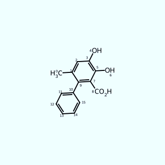 Cc1cc(O)c(O)c(C(=O)O)c1-c1ccccc1